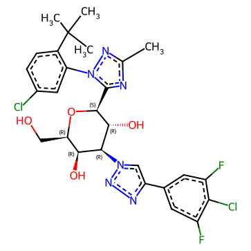 Cc1nc([C@@H]2O[C@H](CO)[C@H](O)[C@H](n3cc(-c4cc(F)c(Cl)c(F)c4)nn3)[C@H]2O)n(-c2cc(Cl)ccc2C(C)(C)C)n1